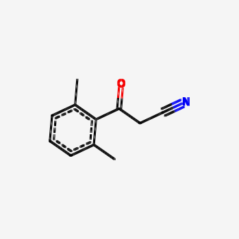 Cc1cccc(C)c1C(=O)CC#N